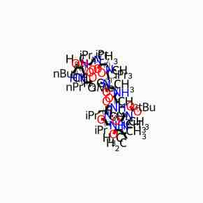 C=CC(C)(C)[C@@H](C(=O)N[C@H](C(=O)N(C)[C@@H](CC(C)C)C(=O)N[C@@H](C)C(=O)N[C@H](C)C(=O)N(C)[C@@H](CC(C)C)C(=O)N(C)[C@@H](CC(C)C)C(=O)N(C)[C@H](C(=O)N(C)[C@H](C(=O)N[C@@H](CCC)C(=O)OC)[C@H](O)[C@H](C)CCCC)C(C)C)C(C)C)N(C)C(=O)[C@@H](C)N(C)C(=O)OC(C)(C)C